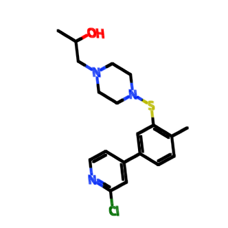 Cc1ccc(-c2ccnc(Cl)c2)cc1SN1CCN(CC(C)O)CC1